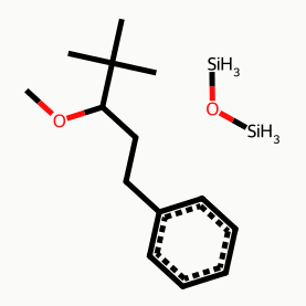 COC(CCc1ccccc1)C(C)(C)C.[SiH3]O[SiH3]